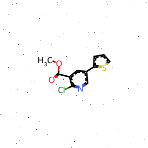 COC(=O)c1cc(-c2cccs2)cnc1Cl